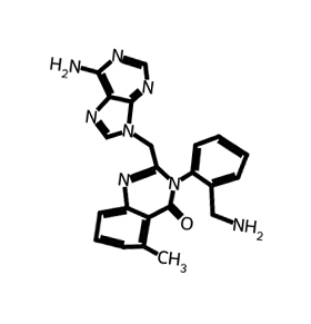 Cc1cccc2nc(Cn3cnc4c(N)ncnc43)n(-c3ccccc3CN)c(=O)c12